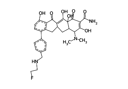 CN(C)C1C(O)=C(C(N)=O)C(=O)C2(O)C(O)=C3C(=O)c4c(O)ccc(-c5ccc(CNCCF)cc5)c4CC3CC12